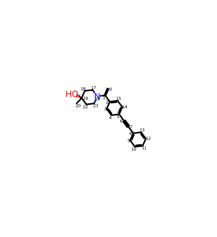 C=C(c1ccc(C#Cc2ccccc2)cc1)N1CCC(C)(O)CC1